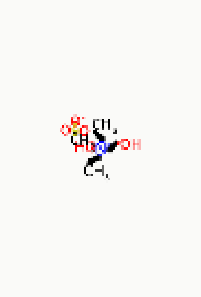 CCC[N+](O)(CCC)CCO.CS(=O)(=O)[O-]